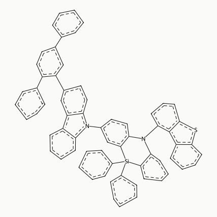 c1ccc(-c2ccc(-c3ccccc3)c(-c3ccc4c(c3)c3ccccc3n4-c3ccc4c(c3)[Si](c3ccccc3)(c3ccccc3)c3ccccc3N4c3cccc4sc5ccccc5c34)c2)cc1